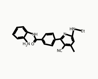 CCNc1cc(C)c(C#N)c(-c2ccc(C(=O)Nc3ccccc3N)cc2)n1